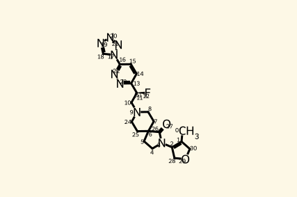 CC1=C(N2CCC3(CCN(C[C@H](F)c4ccc(-n5cnnn5)nn4)CC3)C2=O)COC1